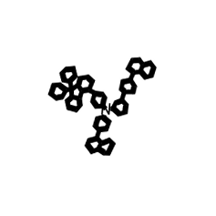 c1ccc(C2(c3ccccc3)c3ccccc3-c3c(-c4ccc(N(c5ccc(-c6cccc7ccccc67)cc5)c5cccc(-c6ccc(-c7cccc8ccccc78)cc6)c5)cc4)cccc32)cc1